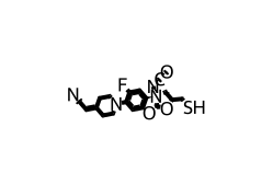 N#CC=C1CCN(c2ccc([N@@+]3(N=C=O)CC(CS)OC3=O)cc2F)CC1